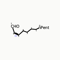 CCCCCCCCC/C=C\C=O